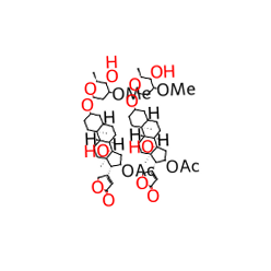 CO[C@H]1C[C@H](O[C@H]2CC[C@@]3(C)[C@H](CC[C@@H]4[C@@H]3CC[C@]3(C)[C@@H](C5=CC(=O)OC5)[C@@H](OC(C)=O)C[C@]43O)C2)O[C@@H](C)[C@@H]1O.CO[C@H]1C[C@H](O[C@H]2CC[C@@]3(C)[C@H](CC[C@@H]4[C@@H]3CC[C@]3(C)[C@@H](C5=CC(=O)OC5)[C@@H](OC(C)=O)C[C@]43O)C2)O[C@@H](C)[C@@H]1O